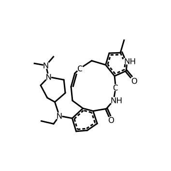 CCN(c1cccc2c1CC=CCCc1cc(C)[nH]c(=O)c1CNC2=O)C1CCN(N(C)C)CC1